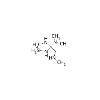 CNCC(NC)(N[SiH3])N(C)C